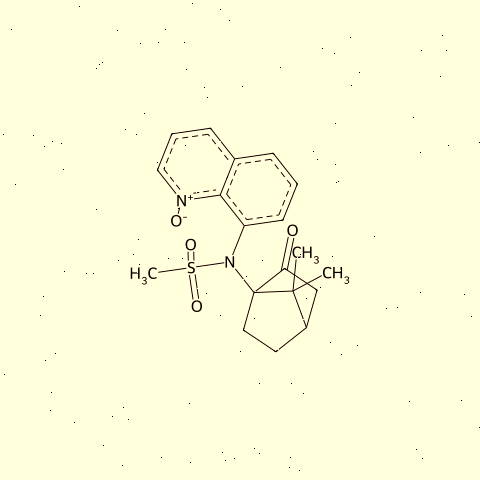 CC1(C)C2CCC1(N(c1cccc3ccc[n+]([O-])c13)S(C)(=O)=O)C(=O)C2